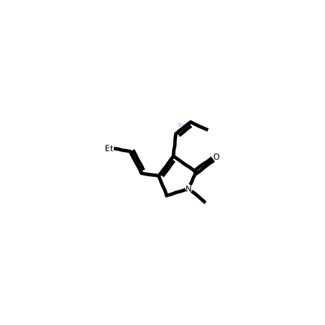 C/C=C\C1=C(C=CCC)CN(C)C1=O